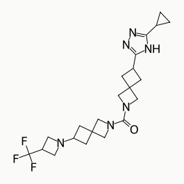 O=C(N1CC2(CC(c3nnc(C4CC4)[nH]3)C2)C1)N1CC2(CC(N3CC(C(F)(F)F)C3)C2)C1